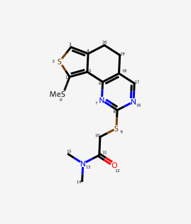 CSc1scc2c1-c1nc(SCC(=O)N(C)C)ncc1CC2